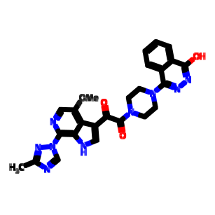 COc1cnc(-n2cnc(C)n2)c2[nH]cc(C(=O)C(=O)N3CCN(c4nnc(O)c5ccccc45)CC3)c12